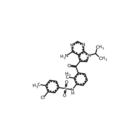 Cc1ccc(S(=O)(=O)Nc2cccc(C(=O)c3cn(C(C)C)c4ncnc(N)c34)c2C)cc1Cl